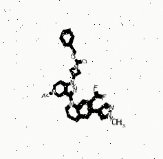 CC(=O)N1CCc2c(c(N3CCCc4cc(-c5cnn(C)c5)c(C(F)F)cc43)nn2C2CN(C(=O)OCc3ccccc3)C2)C1